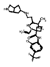 C=CN(NC(CCNC1CC2CNCC2C1)C(C)C)C1(C(=O)Nc2ccc(C(F)(F)F)cc2Cl)CCC1